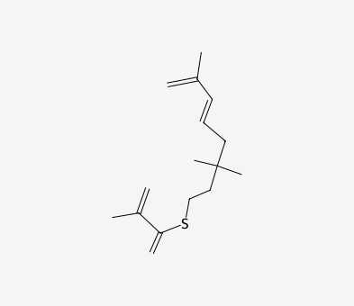 C=C(C)/C=C/CC(C)(C)CCSC(=C)C(=C)C